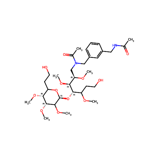 COC(CCO)[C@H](O[C@@H]1OC(CCO)[C@@H](OC)[C@@H](OC)C1OC)[C@@H](OC)[C@@H](CN(Cc1cccc(CNC(C)=O)c1)C(C)=O)OC